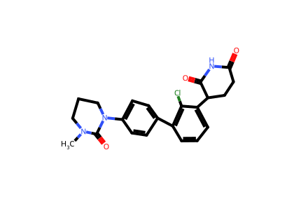 CN1CCCN(c2ccc(-c3cccc(C4CCC(=O)NC4=O)c3Cl)cc2)C1=O